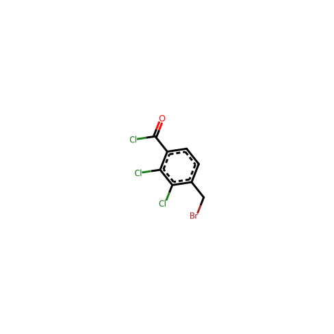 O=C(Cl)c1ccc(CBr)c(Cl)c1Cl